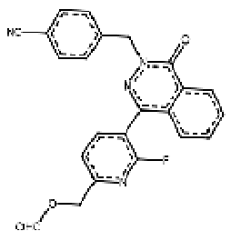 N#Cc1ccc(Cn2nc(-c3ccc(COC=O)nc3F)c3ccccc3c2=O)cc1